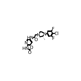 C[C@@H]1CN(CC(=O)Nc2cnc3[nH]c(=O)oc3c2)CCN1c1cc(F)c(Cl)c(F)c1